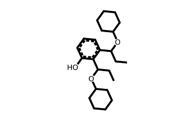 CCC(OC1CCCCC1)c1cccc(O)c1C(CC)OC1CCCCC1